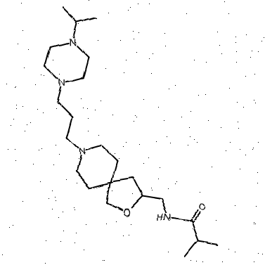 CC(C)C(=O)NCC1CC2(CCN(CCCN3CCN(C(C)C)CC3)CC2)CO1